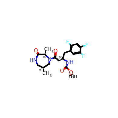 C[C@H]1CNC(=O)[C@@H](C)N(C(=O)C[C@@H](Cc2cc(F)c(F)cc2F)NC(=O)OC(C)(C)C)C1